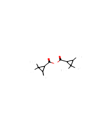 CC1C(C(=O)OC(=O)C2C(C)C2(C)C)C1(C)C